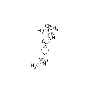 Cc1noc(C2CCN(C(=O)Cn3cc(S(C)(C)C)nn3)CC2)n1